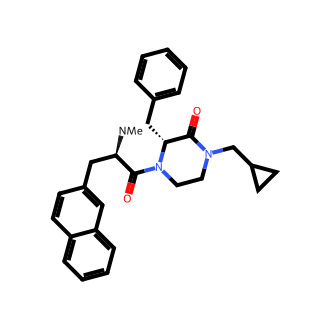 CN[C@H](Cc1ccc2ccccc2c1)C(=O)N1CCN(CC2CC2)C(=O)[C@H]1Cc1ccccc1